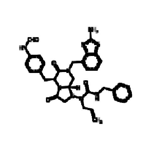 C=CCN(C(=O)NCc1ccccc1)N1CC(=O)N2[C@@H](Cc3ccc(NC=O)cc3)C(=O)N(Cc3cccc4sc(N)nc34)C[C@@H]21